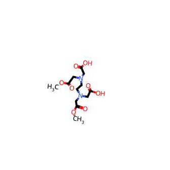 COC(=O)CN(CCN(CC(=O)O)CC(=O)OC)CC(=O)O